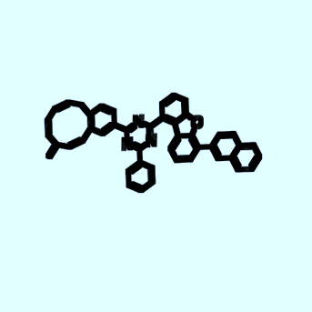 C=C1/C=C\C=C/Cc2ccc(-c3nc(-c4ccccc4)nc(-c4cccc5oc6c(-c7ccc8ccccc8c7)cccc6c45)n3)cc2/C=C\1